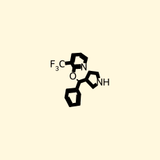 FC(F)(F)c1cccnc1O[C@@H](c1ccccc1)C1CCNC1